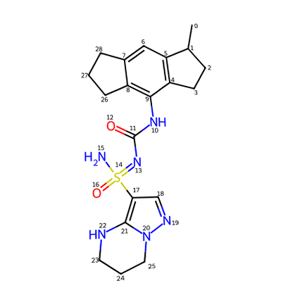 CC1CCc2c1cc1c(c2NC(=O)N=S(N)(=O)c2cnn3c2NCCC3)CCC1